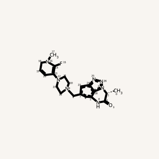 C[C@@H]1C(=O)Nc2cc(CN3CCN(C4=C(F)N(C)CC=C4)CC3)cc3nnn1c23